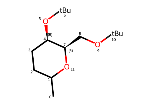 CC1CC[C@@H](OC(C)(C)C)[C@@H](COC(C)(C)C)O1